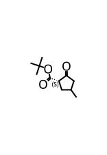 CC1CC(=O)[C@@H](C(=O)OC(C)(C)C)C1